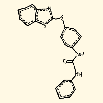 O=C(Nc1ccccc1)Nc1ccc(Sc2nc3ccccc3s2)cc1